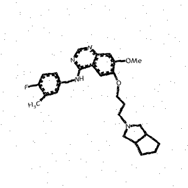 COc1cc2ncnc(Nc3ccc(F)c(C)c3)c2cc1OCCCN1CC2CCCC2C1